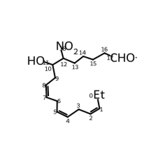 CC/C=C\C/C=C\C/C=C\CC(O)C(CCCC[C]=O)[N+](=O)[O-]